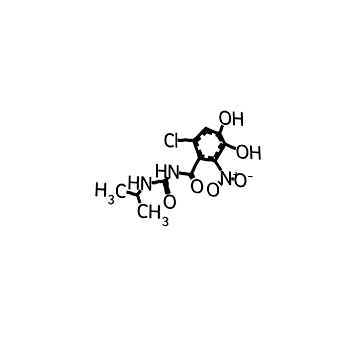 CC(C)NC(=O)NC(=O)c1c(Cl)cc(O)c(O)c1[N+](=O)[O-]